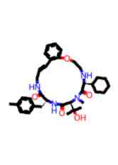 Cc1ccc(C[C@H]2NC(=O)[C@H](C(C)(C)O)N(C)C(=O)[C@H](C3CCCCC3)NCCOc3ccccc3/C=C/CNC2=O)cc1